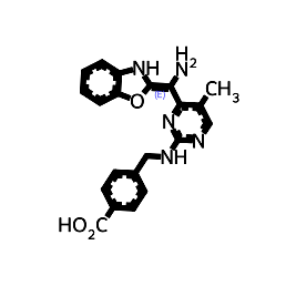 Cc1cnc(NCc2ccc(C(=O)O)cc2)nc1/C(N)=C1/Nc2ccccc2O1